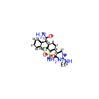 CCNc1ncc(-c2ccc(C(C(N)=O)c3ccccc3Cl)cc2S(N)(=O)=O)cn1